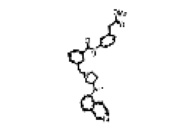 COC(=O)Cc1cccc(NC(=O)c2cccc(CN3CCC(Nc4cccc5cnccc45)C3)c2)c1